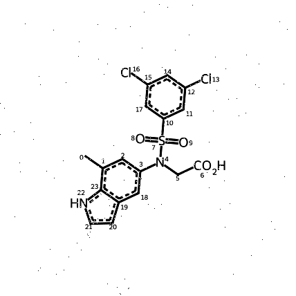 Cc1cc(N(CC(=O)O)S(=O)(=O)c2cc(Cl)cc(Cl)c2)cc2cc[nH]c12